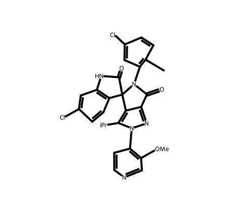 COc1cnccc1-n1nc2c(c1C(C)C)C1(C(=O)Nc3cc(Cl)ccc31)N(c1cc(Cl)ccc1C)C2=O